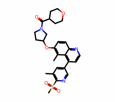 Cc1cc(-c2ccnc3ccc(OC4CCN(C(=O)C5CCOCC5)C4)c(C)c23)cnc1S(C)(=O)=O